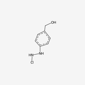 OCc1ccc(NNCl)cc1